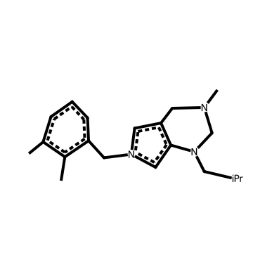 Cc1cccc(Cn2cc3c(c2)N(CC(C)C)CN(C)C3)c1C